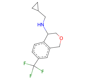 FC(F)(F)c1ccc2c(c1)COCC2NCC1CC1